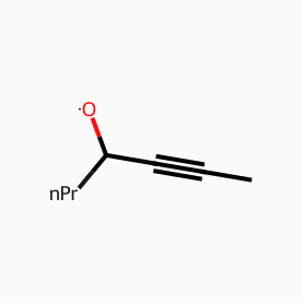 CC#CC([O])CCC